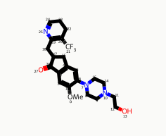 COc1cc2c(cc1N1CCN(CCO)CC1)CC(CC1=C(C(F)(F)F)CCC=N1)C2=O